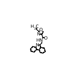 C=Cc1nc(C(=O)NCc2nc3ccccc3c3ccccc23)co1